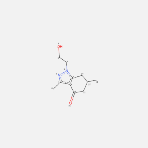 Cc1nn(CCO)c2c1C(=O)CC(C)C2